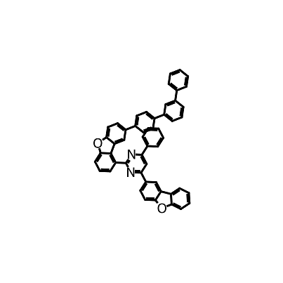 c1ccc(-c2cccc(-c3ccc(-c4ccc5oc6cccc(-c7nc(-c8ccccc8)cc(-c8ccc9oc%10ccccc%10c9c8)n7)c6c5c4)cc3)c2)cc1